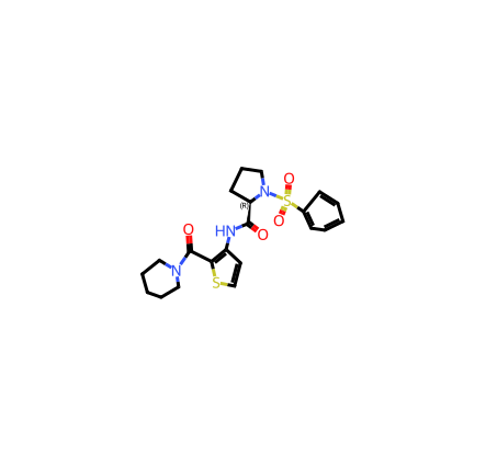 O=C(Nc1ccsc1C(=O)N1CCCCC1)[C@H]1CCCN1S(=O)(=O)c1ccccc1